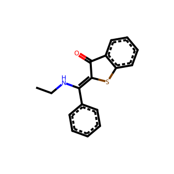 CCN/C(=C1/Sc2ccccc2C1=O)c1ccccc1